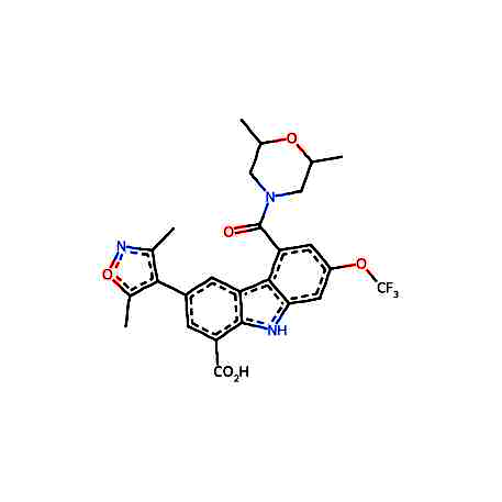 Cc1noc(C)c1-c1cc(C(=O)O)c2[nH]c3cc(OC(F)(F)F)cc(C(=O)N4CC(C)OC(C)C4)c3c2c1